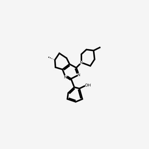 CC1CCN(c2nc(-c3ccccc3O)nc3c2CC[C@@H](C)C3)CC1